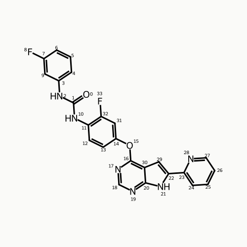 O=C(Nc1cccc(F)c1)Nc1ccc(Oc2ncnc3[nH]c(-c4ccccn4)cc23)cc1F